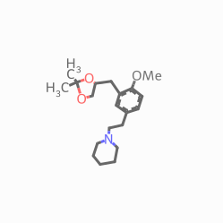 COc1ccc(CCN2CCCCC2)cc1CC1COC(C)(C)O1